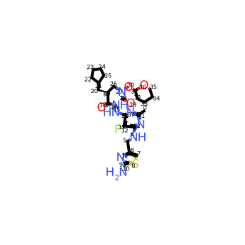 Cc1nc(NCc2csc(N)n2)c(F)c(NNC(=O)[C@@H](CC2CCCC2)CN(C=O)OC2CCCCO2)n1